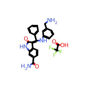 NCc1cccc(NC(=C2C(=O)Nc3cc(C(N)=O)ccc32)c2ccccc2)c1.O=C(O)C(F)(F)F